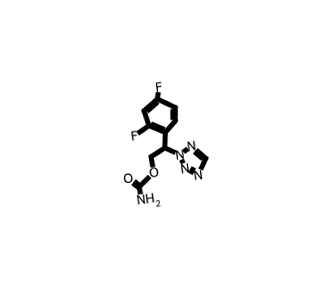 NC(=O)OCC(c1ccc(F)cc1F)n1ncnn1